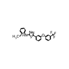 CCc1cc[c]cc1Nc1nnc(-c2cccc(Oc3cccc(C(F)(F)F)c3)c2)s1